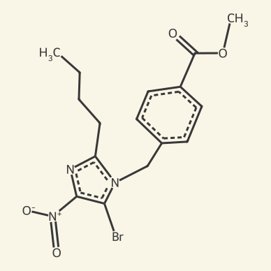 CCCCc1nc([N+](=O)[O-])c(Br)n1Cc1ccc(C(=O)OC)cc1